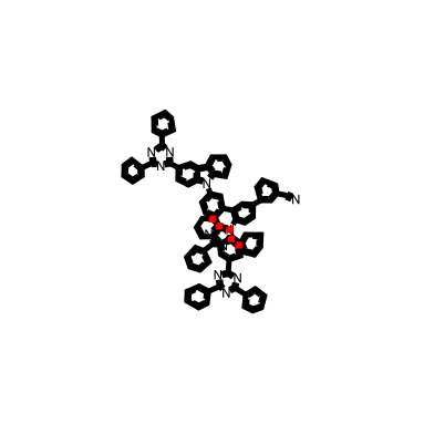 N#Cc1cccc(-c2ccc(-n3c4c(c5cc(-c6nc(-c7ccccc7)nc(-c7ccccc7)n6)ccc53)C=CCC4)c(-c3cc(-n4c5ccccc5c5cc(-c6nc(-c7ccccc7)nc(-c7ccccc7)n6)ccc54)ccc3-c3nc(-c4ccccc4)nc(-c4ccccc4)n3)c2)c1